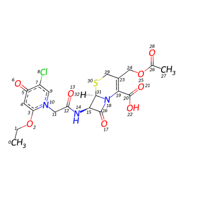 CCOc1cc(=O)c(Cl)cn1CC(=O)N[C@@H]1C(=O)N2C(C(=O)O)=C(COC(C)=O)CS[C@H]12